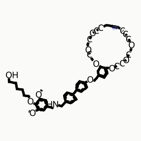 COc1cc(CNCc2ccc(-c3ccc(OCC4=C=C=C5OCCOCCOCCC/C=C\CCCOCCOCCOC5C4)cc3)cc2)cc(OC)c1OCCCCCCO